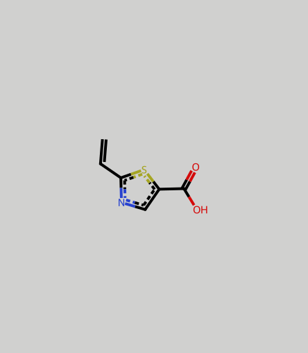 C=Cc1ncc(C(=O)O)s1